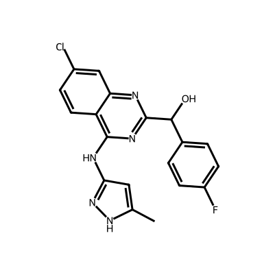 Cc1cc(Nc2nc(C(O)c3ccc(F)cc3)nc3cc(Cl)ccc23)n[nH]1